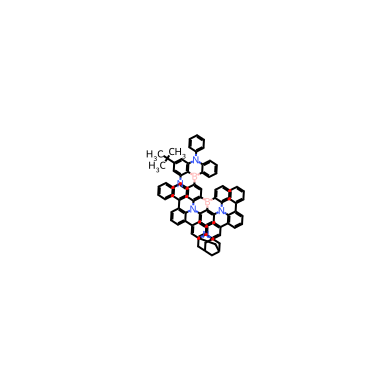 CC(C)(C)c1cc2c3c(c1)N(c1ccccc1)c1cc4c(cc1B3c1ccccc1N2c1ccccc1)B1c2ccccc2N(c2c(-c3ccccc3)cccc2-c2ccccc2)c2cc(N3C5CC6CC(C5)CC3C6)cc(c21)N4c1c(-c2ccccc2)cccc1-c1ccccc1